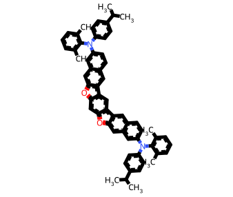 Cc1cccc(C)c1N(c1ccc(C(C)C)cc1)c1ccc2cc3c(cc2c1)oc1cc2oc4cc5cc(N(c6ccc(C(C)C)cc6)c6c(C)cccc6C)ccc5cc4c2cc13